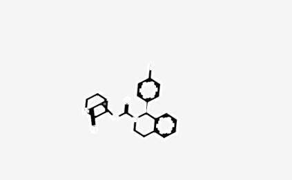 O=C1C(OC(=O)N2CCc3ccccc3[C@@H]2c2ccc(F)cc2)C2CCN1CC2